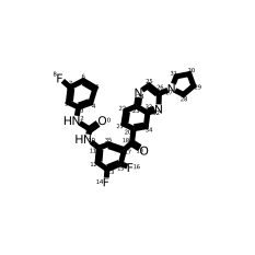 O=C(Nc1cccc(F)c1)Nc1cc(F)c(F)c(C(=O)c2ccc3ncc(N4CCCC4)nc3c2)c1